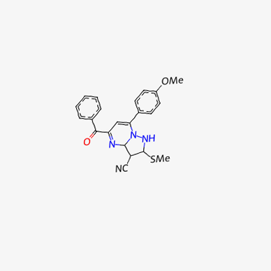 COc1ccc(C2=CC(C(=O)c3ccccc3)=NC3C(C#N)C(SC)NN23)cc1